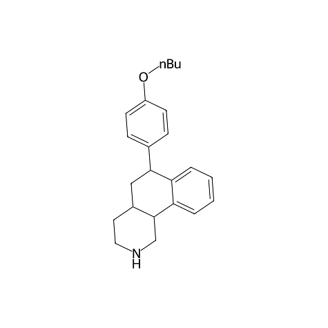 CCCCOc1ccc(C2CC3CCNCC3c3ccccc32)cc1